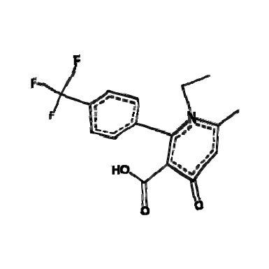 CCn1c(C)cc(=O)c(C(=O)O)c1-c1ccc(C(F)(F)F)cc1